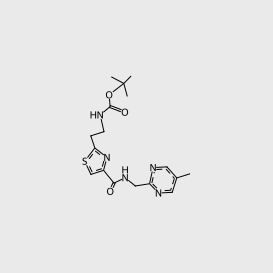 Cc1cnc(CNC(=O)c2csc(CCNC(=O)OC(C)(C)C)n2)nc1